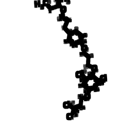 CCC(C)ON=CCc1ccc(OCCCOc2c(Cl)cc(OCC=C(Cl)Cl)cc2Cl)nc1